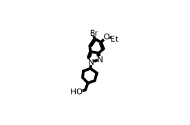 CCOc1cc2nn(C3CCC(CO)CC3)cc2cc1Br